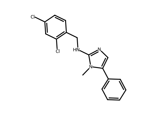 Cn1c(-c2ccccc2)cnc1NCc1ccc(Cl)cc1Cl